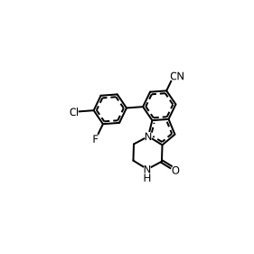 N#Cc1cc(-c2ccc(Cl)c(F)c2)c2c(c1)cc1n2CCNC1=O